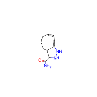 NC(=O)C1NNC2=CC=CCCCC21